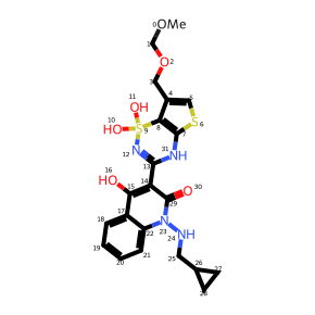 COCOCc1csc2c1S(O)(O)N=C(c1c(O)c3ccccc3n(NCC3CC3)c1=O)N2